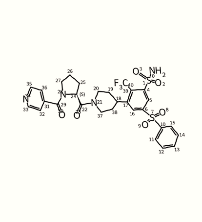 NS(=O)(=O)c1cc(S(=O)(=O)c2ccccc2)cc(C2CCN(C(=O)[C@@H]3CCCN3C(=O)c3ccncc3)CC2)c1C(F)(F)F